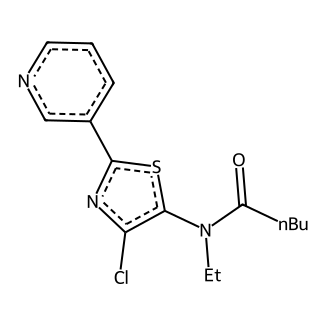 CCCCC(=O)N(CC)c1sc(-c2cccnc2)nc1Cl